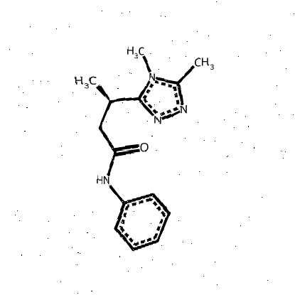 Cc1nnc([C@H](C)CC(=O)Nc2ccccc2)n1C